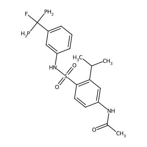 CC(=O)Nc1ccc(S(=O)(=O)Nc2cccc(C(F)(P)P)c2)c(C(C)C)c1